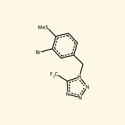 CSc1ccc(Cn2nnnc2C(F)(F)F)cc1Br